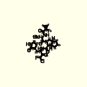 CC(C)(C)[C@H](NC(=O)C1(F)CC1)C(=O)N1C[C@@H]2CCC[C@@H]2[C@H]1C(=O)NN(C[C@@H]1CCNC1=O)C(=O)[C@@H](F)Cl